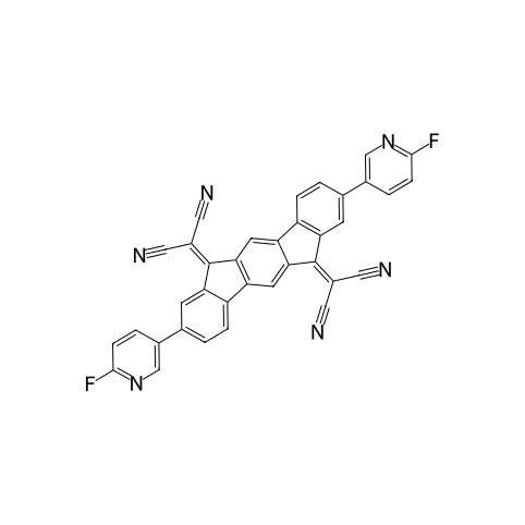 N#CC(C#N)=C1c2cc(-c3ccc(F)nc3)ccc2-c2cc3c(cc21)-c1ccc(-c2ccc(F)nc2)cc1C3=C(C#N)C#N